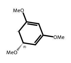 COC1=CC(OC)=C[C@H](OC)[CH]1